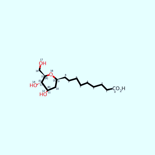 O=C(O)CCCCCCCC[C@H]1C[C@@H](O)[C@H](O)[C@@H](CO)O1